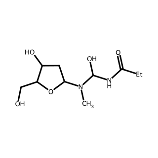 CCC(=O)NC(O)N(C)C1CC(O)C(CO)O1